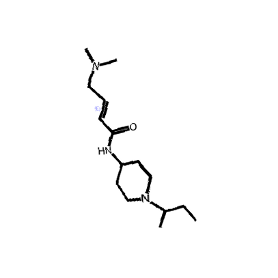 CCC(C)N1CCC(NC(=O)/C=C/CN(C)C)CC1